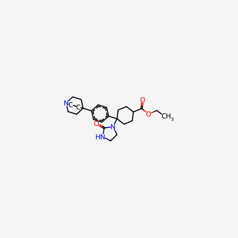 CCOC(=O)C1CCC(c2ccc(C34CCN(CC3)CC4)cc2)(N2CCNC2=O)CC1